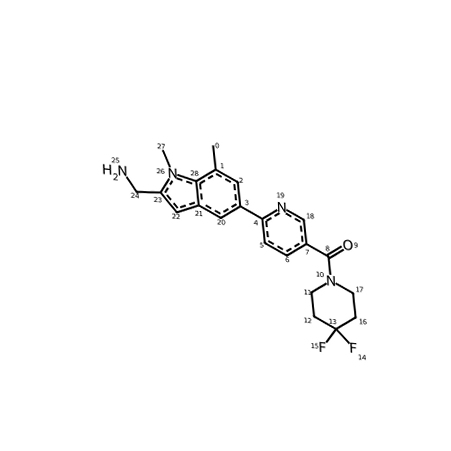 Cc1cc(-c2ccc(C(=O)N3CCC(F)(F)CC3)cn2)cc2cc(CN)n(C)c12